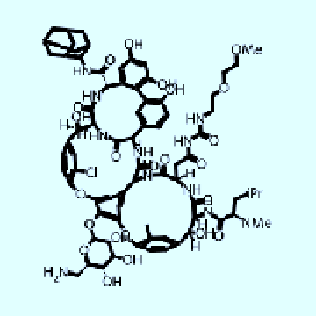 CN[C@H](CC(C)C)C(=O)N[C@H]1C(=O)N[C@@H](CC(=O)NC(=O)NCCOCCOC)C(=O)NC2C(=O)N[C@H]3C(=O)N[C@H](C(=O)N[C@H](C(=O)NC4C5CC6CC(C5)CC4C6)c4cc(O)cc(O)c4-c4cc3ccc4O)[C@H](O)c3ccc(c(Cl)c3)Oc3cc2cc(c3O[C@@H]2O[C@H](CN)[C@@H](O)[C@H](O)[C@H]2O)Oc2ccc(cc2C)[C@H]1O